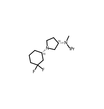 CC(C)N(C)[C@H]1CCN([C@H]2CCCC(F)(F)C2)C1